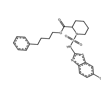 COc1ccc2nc(NS(=O)(=O)N3CCCCC3C(=O)OCCCCc3ccccc3)sc2c1